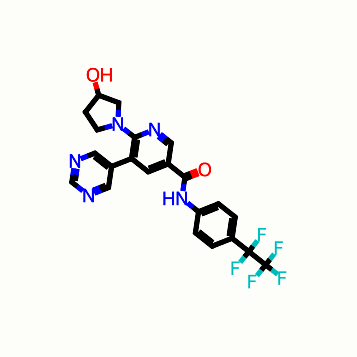 O=C(Nc1ccc(C(F)(F)C(F)(F)F)cc1)c1cnc(N2CCC(O)C2)c(-c2cncnc2)c1